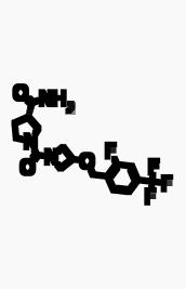 NC(=O)[C@@H]1CCN(C(=O)N2CC(OCc3ccc(C(F)(F)F)cc3F)C2)C1